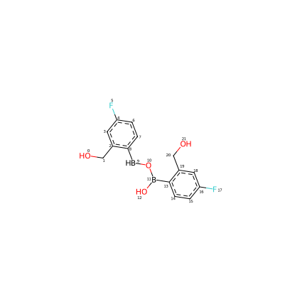 OCc1cc(F)ccc1BOB(O)c1ccc(F)cc1CO